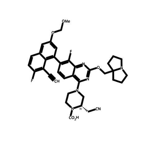 C#Cc1c(F)ccc2cc(OCOC)cc(-c3ccc4c(N5CCN(C(=O)O)[C@@H](CC#N)C5)nc(OCC56CCCN5CCC6)nc4c3F)c12